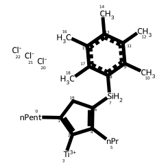 CCCCCC1=[C]([Ti+3])C(CCC)=C([SiH2]c2c(C)c(C)c(C)c(C)c2C)C1.[Cl-].[Cl-].[Cl-]